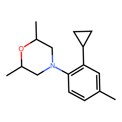 Cc1ccc(N2CC(C)OC(C)C2)c(C2CC2)c1